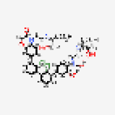 C[C@H](O)[C@@H](NCCN1C(=O)COc2cc(-c3cccc(-c4cccc(-c5ccc6c(c5)OCC(=O)N6CCN[C@@H](C(=O)O)[C@H](C)O)c4Cl)c3Cl)ccc21)C(=O)O